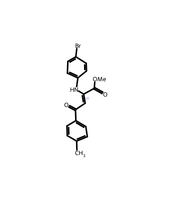 COC(=O)/C(=C/C(=O)c1ccc(C)cc1)Nc1ccc(Br)cc1